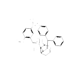 COc1ccc([N+](=O)[O-])cc1CN[C@@H]1C2CCN(CC2)[C@H]1C(c1ccccc1)c1ccccc1